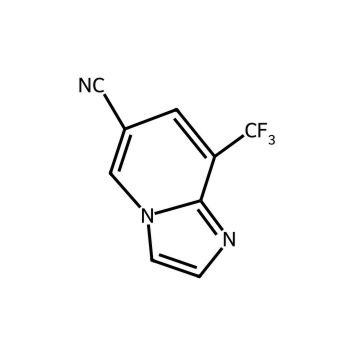 N#Cc1cc(C(F)(F)F)c2nccn2c1